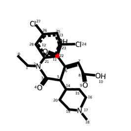 CCN(C(=O)C(/C(=C\C(=O)O)C(=O)O)C1CCN(C)CC1)c1cc(Cl)cc(Cl)c1